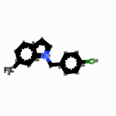 FC(F)(F)c1ccc2ccn(Cc3ccc(Cl)cc3)c2c1